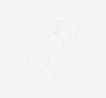 Cc1cc(Oc2ccc(C(=O)O)cc2F)c(=O)[nH]n1